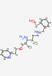 NC(C(Cl)CCNCc1ccccc1CO)C(Cl)COCCc1ccccn1